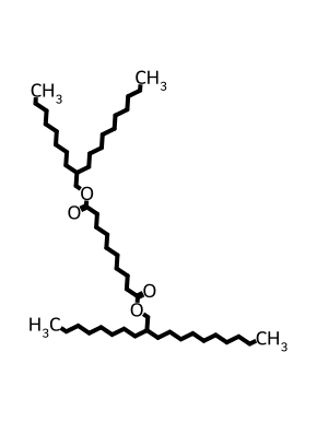 CCCCCCCCCCC(CCCCCCCC)COC(=O)CCCCCCCCC(=O)OCC(CCCCCCCC)CCCCCCCCCC